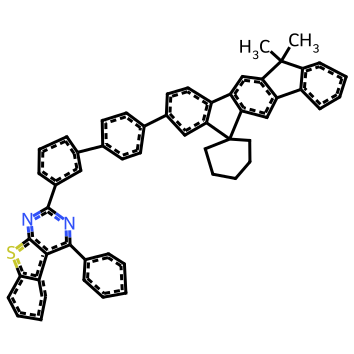 CC1(C)c2ccccc2-c2cc3c(cc21)-c1ccc(-c2ccc(-c4cccc(-c5nc(-c6ccccc6)c6c(n5)sc5ccccc56)c4)cc2)cc1C31CCCCC1